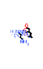 CC(C)=CC1CC(=O)OC1=O.NCCC(N)C(N)(N)N